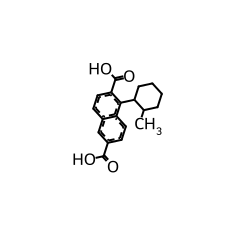 CC1CCCCC1c1c(C(=O)O)ccc2cc(C(=O)O)ccc12